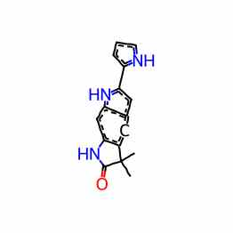 CC1(C)C(=O)Nc2cc3[nH]c(-c4ccc[nH]4)cc3cc21